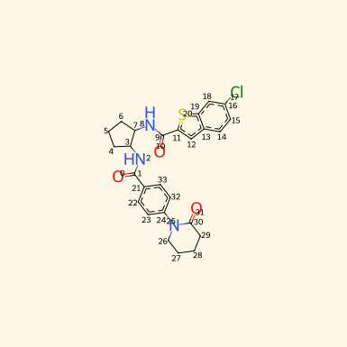 O=C(NC1CCCC1NC(=O)c1cc2ccc(Cl)cc2s1)c1ccc(N2CCCCC2=O)cc1